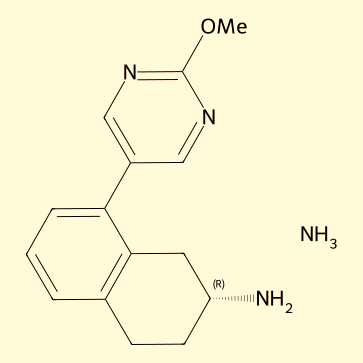 COc1ncc(-c2cccc3c2C[C@H](N)CC3)cn1.N